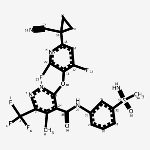 Cc1c(C(F)(F)F)nnc(Oc2c(F)cc(C3(C#N)CC3)nc2F)c1C(=O)Nc1cccc(S(C)(=N)=O)c1